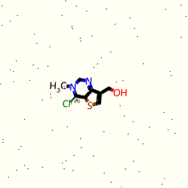 CN1CN=C2C(CO)=CSC2[C@H]1Cl